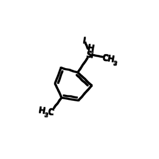 Cc1ccc([SiH](C)I)cc1